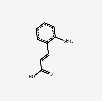 O=C(O)C=Cc1cccc[c]1[SbH2]